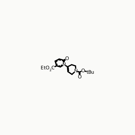 CCOC(=O)c1ccc(=O)n(C2=CCN(C(=O)OC(C)(C)C)CC2)c1